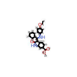 CCOc1ccc(NC(=C2C(=O)Nc3cc(C(=O)OC)ccc32)c2ccccc2)cc1